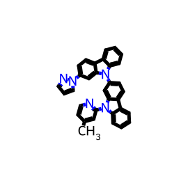 Cc1ccnc(-n2c3ccccc3c3ccc(-n4c5ccccc5c5ccc(-n6cccn6)cc54)cc32)c1